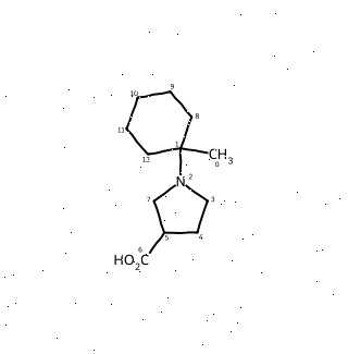 CC1(N2CCC(C(=O)O)C2)CCCCC1